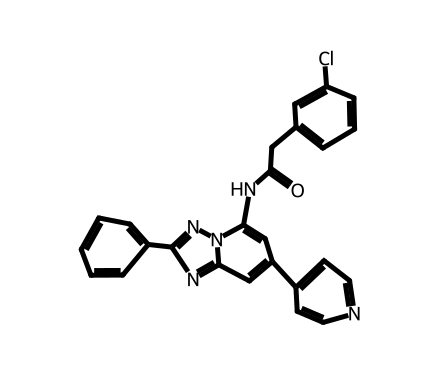 O=C(Cc1cccc(Cl)c1)Nc1cc(-c2ccncc2)cc2nc(-c3ccccc3)nn12